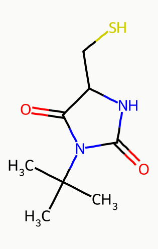 CC(C)(C)N1C(=O)NC(CS)C1=O